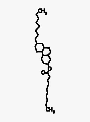 CCCCCCCCCC(=O)OC1CCC2C(CCC3CC(CCCCCCCC)CCC32)C1